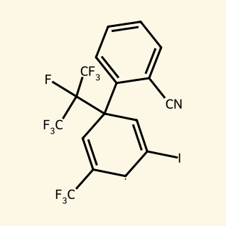 N#Cc1ccccc1C1(C(F)(C(F)(F)F)C(F)(F)F)C=C(I)[CH]C(C(F)(F)F)=C1